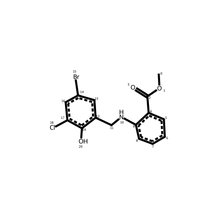 COC(=O)c1ccccc1NCc1cc(Br)cc(Cl)c1O